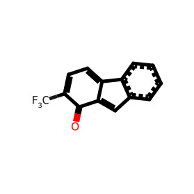 O=C1C2=Cc3ccccc3C2=CC=C1C(F)(F)F